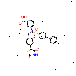 O=C1NC(=O)C(c2ccc(CN(c3cccc(C(=O)O)c3)S(=O)(=O)c3ccc(-c4ccccc4)cc3)cc2)S1